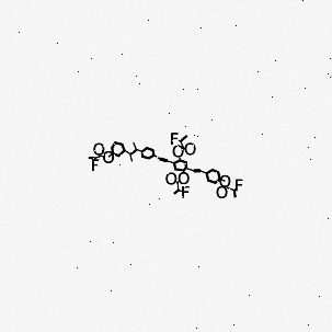 C=C(F)C(=O)Oc1ccc(C#Cc2cc(OC(=O)C(=C)F)c(C#Cc3ccc(/C(C)=C(\C)c4cccc(OC(=O)C(=C)F)c4)cc3)cc2OC(=O)C(=C)F)cc1